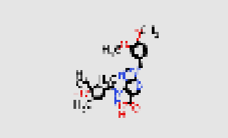 CCC1(O)C[C@@H]([C@H](C)Nc2c(C(=O)O)cnc3c2ncn3Cc2ccc(OC)c(OC)c2)C[C@@H]1C